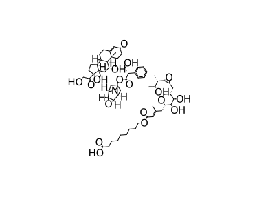 C/C(=C\C(=O)OCCCCCCCCC(=O)O)C[C@@H]1OC[C@H](C[C@@H]2O[C@H]2[C@@H](C)[C@H](C)O)[C@@H](O)[C@H]1O.CN1[C@@H]2C[C@@H](OC(=O)[C@H](CO)c3ccccc3)C[C@H]1[C@@H]1O[C@@H]12.C[C@]12CCC(=O)C=C1CC[C@@H]1[C@@H]2[C@@H](O)C[C@@]2(C)[C@H]1CC[C@]2(O)C(=O)CO